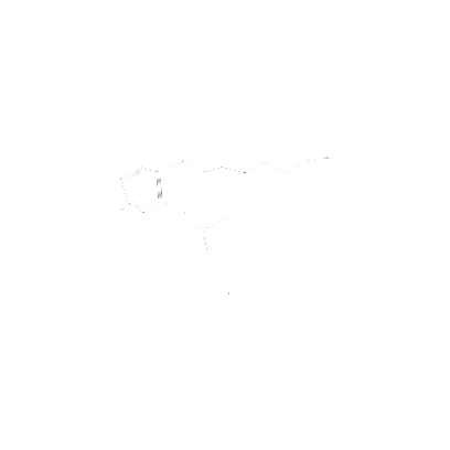 CCCCCCCCCCCCCCCC[n+]1ccccc1.CN(C)C.Cl.[Cl-]